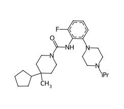 CC(C)N1CCN(c2cccc(F)c2NC(=O)N2CCC(C)(C3CCCC3)CC2)CC1